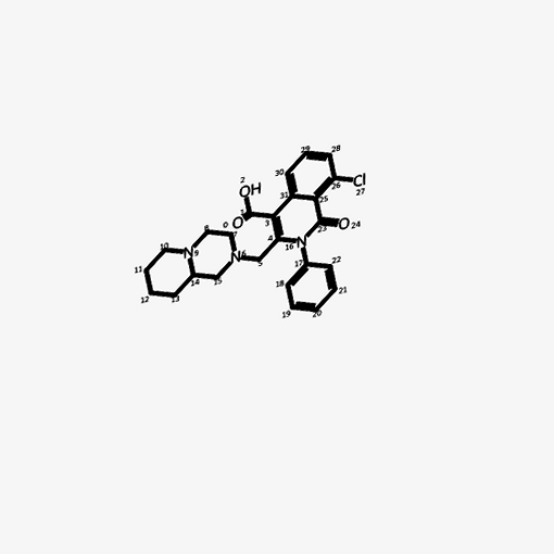 O=C(O)c1c(CN2CCN3CCCCC3C2)n(-c2ccccc2)c(=O)c2c(Cl)cccc12